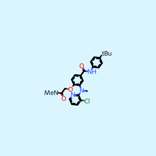 CNC(=O)COc1ccc(C(=O)Nc2ccc(C(C)(C)C)cc2)cc1N(C)c1ncccc1Cl